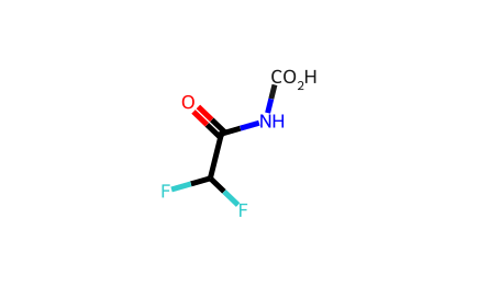 O=C(O)NC(=O)C(F)F